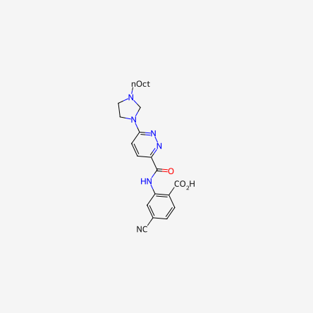 CCCCCCCCN1CCN(c2ccc(C(=O)Nc3cc(C#N)ccc3C(=O)O)nn2)C1